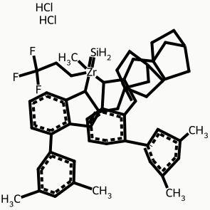 Cc1cc(C)cc(-c2cccc3c2C=C(CC24CCC(CC2)C4)[CH]3[Zr]([CH3])(=[SiH2])([CH2]CC(F)(F)F)[CH]2C(CC34CCC(CC3)C4)=Cc3c(-c4cc(C)cc(C)c4)cccc32)c1.Cl.Cl